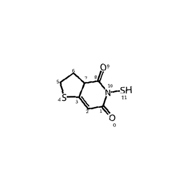 O=C1C=C2SCCC2C(=O)N1S